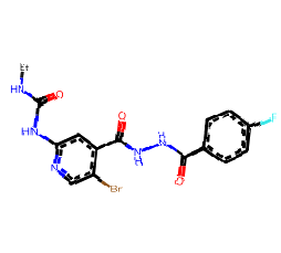 CCNC(=O)Nc1cc(C(=O)NNC(=O)c2ccc(F)cc2)c(Br)cn1